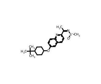 C/C(=N/[S@+](C)[O-])c1ccc2cc(OC3CCC(C(C)(C)C)CC3)ccc2n1